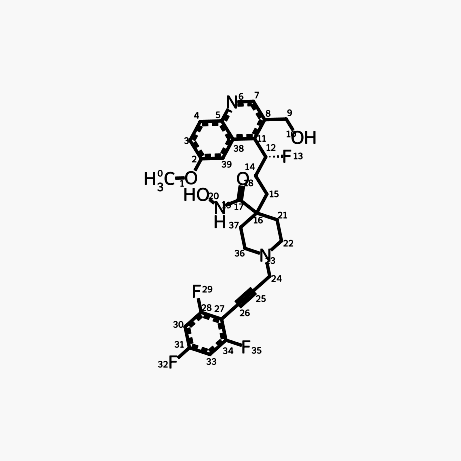 COc1ccc2ncc(CO)c([C@H](F)CCC3(C(=O)NO)CCN(CC#Cc4c(F)cc(F)cc4F)CC3)c2c1